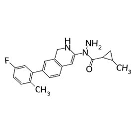 Cc1ccc(F)cc1-c1ccc2c(c1)CNC(N(N)C(=O)C1CC1C)=C2